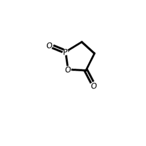 O=C1CC[P](=O)O1